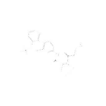 C=C(CCN)N1CCCCC1C(=O)Nc1ccc(-c2ccccc2OC(F)(F)F)c(Cl)c1